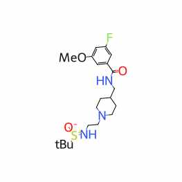 COc1cc(F)cc(C(=O)NCC2CCN(CCN[S+]([O-])C(C)(C)C)CC2)c1